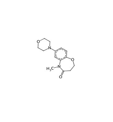 CN1C(=O)CCOc2ccc(N3CCOCC3)cc21